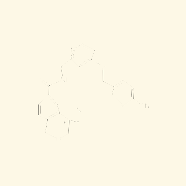 C[C@@]1(C#N)COCc2ccc(C(=O)NCc3cc(OCc4ccc(C#N)cc4)ccn3)cc21